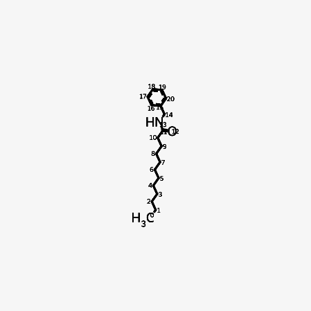 CCCCCCCCCCCC(=O)NCc1ccccc1